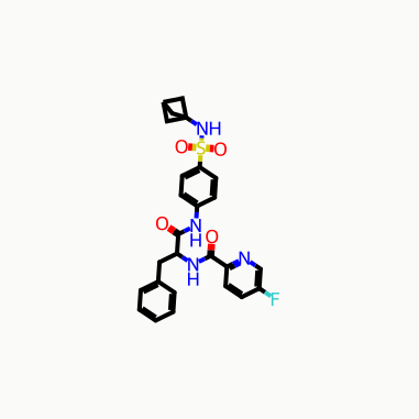 O=C(NC(Cc1ccccc1)C(=O)Nc1ccc(S(=O)(=O)NC23CC(C2)C3)cc1)c1ccc(F)cn1